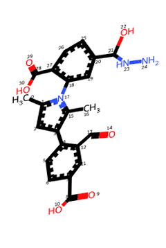 Cc1cc(-c2ccc(C(=O)O)cc2C=O)c(C)n1-c1cc(C(O)NN)ccc1C(=O)O